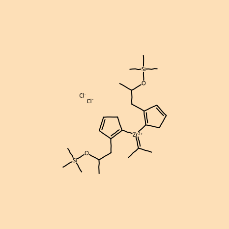 C[C](C)=[Zr+2]([C]1=C(CC(C)O[Si](C)(C)C)C=CC1)[C]1=C(CC(C)O[Si](C)(C)C)C=CC1.[Cl-].[Cl-]